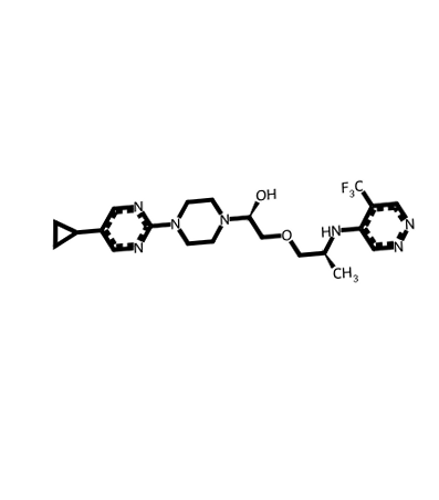 C[C@@H](COC[C@H](O)N1CCN(c2ncc(C3CC3)cn2)CC1)Nc1cnncc1C(F)(F)F